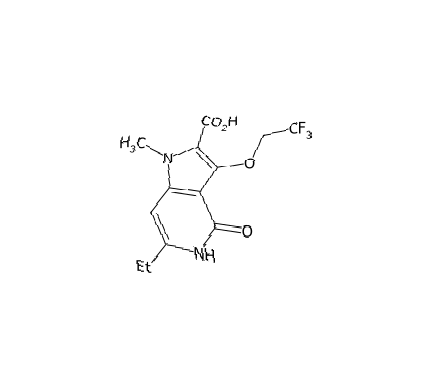 CCc1cc2c(c(OCC(F)(F)F)c(C(=O)O)n2C)c(=O)[nH]1